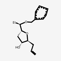 C=CC[C@@H]1O[C@@H]([C@@H](CC)OCc2ccccc2)C[C@H]1O